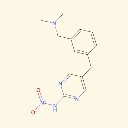 CN(C)Cc1cccc(Cc2cnc(N[N+](=O)[O-])nc2)c1